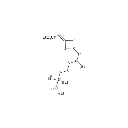 CCOC(=O)/C=C1/C=C(CC(CC)CCCC(CC)(CC)OCC)C1